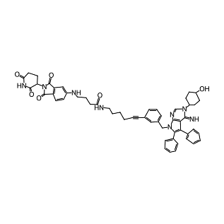 N=c1c2c(-c3ccccc3)c(-c3ccccc3)n(Cc3cccc(C#CCCCCNC(=O)CCCNc4ccc5c(c4)C(=O)N(C4CCC(=O)NC4=O)C5=O)c3)c2ncn1C1CCC(O)CC1